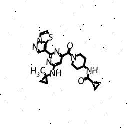 CC1(Nc2cc(C(=O)N3CCC(NC(=O)C4CC4)CC3)nc(-c3cnn4ccsc34)n2)CC1